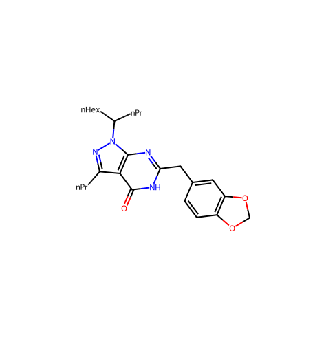 CCCCCCC(CCC)n1nc(CCC)c2c(=O)[nH]c(Cc3ccc4c(c3)OCO4)nc21